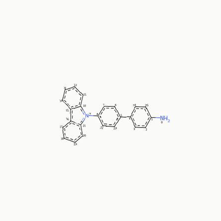 Nc1ccc(-c2ccc(-n3c4ccccc4c4ccccc43)cc2)cc1